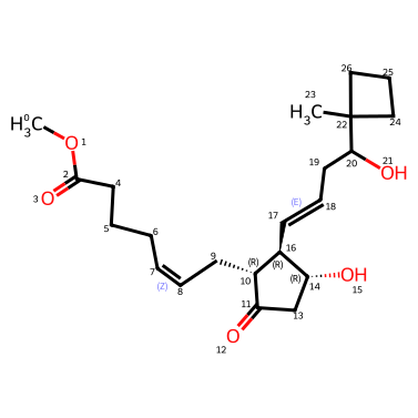 COC(=O)CCC/C=C\C[C@H]1C(=O)C[C@@H](O)[C@@H]1/C=C/CC(O)C1(C)CCC1